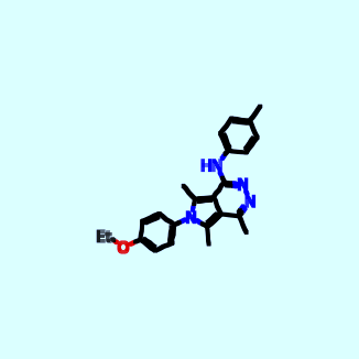 CCOc1ccc(-n2c(C)c3c(C)nnc(Nc4ccc(C)cc4)c3c2C)cc1